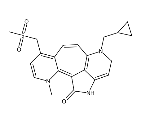 CN1C=CC(CS(C)(=O)=O)=c2ccc3c4c([nH]c(=O)c-4c21)=CCN3CC1CC1